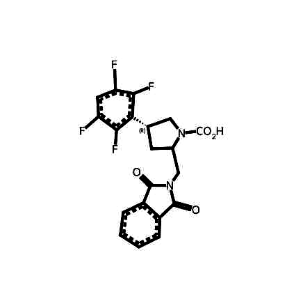 O=C1c2ccccc2C(=O)N1CC1C[C@H](c2c(F)c(F)cc(F)c2F)CN1C(=O)O